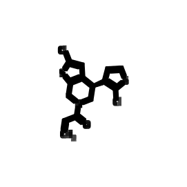 C=CC(=O)N1Cc2sc(Cl)cc2[C@@H](c2ccsc2Cl)C1